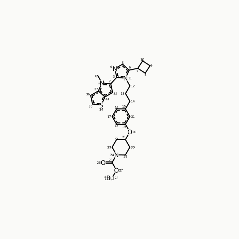 Cn1c(-c2ncc(C3CCC3)n2CCCc2cccc(OC3CCN(C(=O)OC(C)(C)C)CC3)c2)cc2sccc21